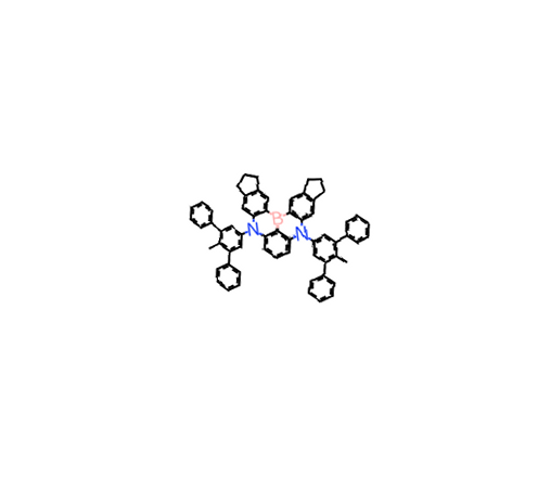 Cc1c(-c2ccccc2)cc(N2c3cc4c(cc3B3c5cc6c(cc5N(c5cc(-c7ccccc7)c(C)c(-c7ccccc7)c5)c5cccc2c53)CCC6)CCC4)cc1-c1ccccc1